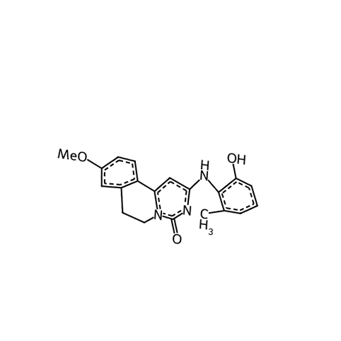 COc1ccc2c(c1)CCn1c-2cc(Nc2c(C)cccc2O)nc1=O